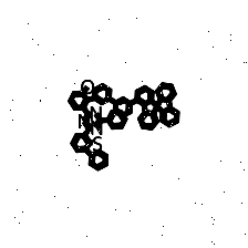 c1ccc(-c2nc(-c3cccc4c3sc3ccccc34)nc(-c3cccc4oc5ccc(-c6cccc(-c7cccc8c7-c7ccccc7C87c8ccccc8-c8ccccc87)c6)cc5c34)n2)cc1